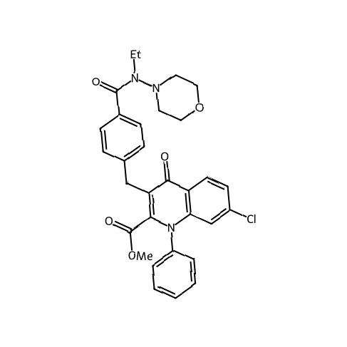 CCN(C(=O)c1ccc(Cc2c(C(=O)OC)n(-c3ccccc3)c3cc(Cl)ccc3c2=O)cc1)N1CCOCC1